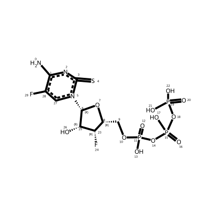 Nc1nc(=S)n([C@@H]2O[C@H](COP(=O)(O)OP(=O)(O)OP(=O)(O)O)[C@H](F)[C@@H]2O)cc1F